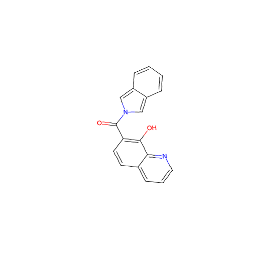 O=C(c1ccc2cccnc2c1O)n1cc2ccccc2c1